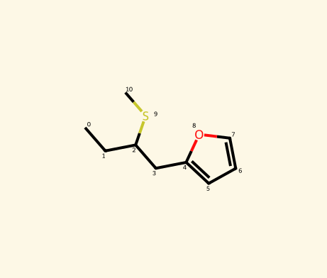 CCC([CH]c1ccco1)SC